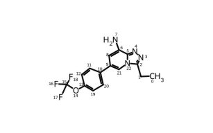 CCc1nnc2c(N)cc(-c3ccc(OC(F)(F)F)cc3)cn12